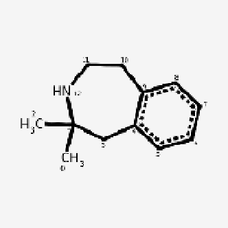 CC1(C)Cc2ccccc2CCN1